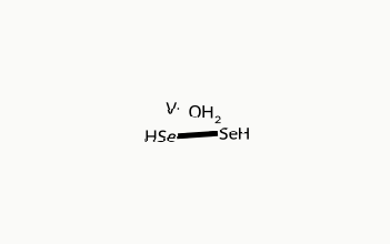 O.[SeH][SeH].[V]